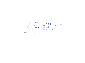 CC1CC(C(N)=O)C(C)N(c2cc(-c3cnc(/C=C\C(=N)C(F)(F)F)[nH]3)ncn2)C1